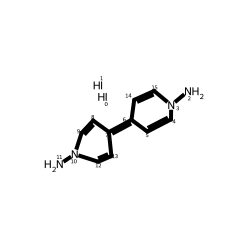 I.I.NN1C=CC(=C2C=CN(N)C=C2)C=C1